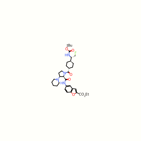 CCOC(=O)c1cc2cc(NC(=O)[C@H]3[C@@H](N4CCCCC4)CCN3C(=O)[C@H]3CC[C@H]([C@@H](CF)NC(=O)OC(C)(C)C)CC3)ccc2o1